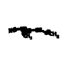 C=CC(=O)OCCCCSc1ccc(C#Cc2ccc(COc3ccc(C#Cc4ccc(C#N)cc4)cc3C(=O)OC)cc2)cc1